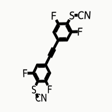 N#CSc1c(F)cc(C#Cc2cc(F)c(SC#N)c(F)c2)cc1F